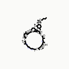 CCCCOP(C)(=O)O[C@@H]1CCC(C[C@H]2C3CCCN4C(=O)C(=O)C5(O)O[C@@H](CCC5C)C[C@H](OC)/C(C)=C/C=C/C=C/[C@@H](C)CC(C)C(=O)[C@H](OC)C(O)/C(C)=C/C(C)C(=O)C[C@@H]2OC(=O)C34)CC1OC